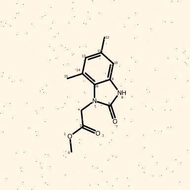 COC(=O)Cn1c(=O)[nH]c2cc(C)cc(C)c21